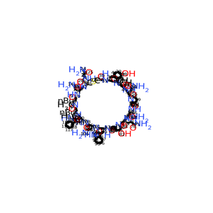 CCCC[C@H]1C(=O)N(C)[C@@H](CCCC)C(=O)N[C@@H](CCN)C(=O)N[C@H](C(=O)NCC(N)=O)CSCC(=O)N[C@@H](Cc2ccc(O)cc2)C(=O)N(C)[C@@H](C)C(=O)N[C@@H](CC(N)=O)C(=O)N2CCC[C@H]2C(=O)N[C@@H](CN)C(=O)N[C@@H](CCC(N)=O)C(=O)N2C[C@H](O)C[C@H]2C(=O)N[C@@H](Cc2c[nH]c3ccccc23)C(=O)N[C@@H](CCN)C(=O)N[C@@H](Cc2c[nH]c3ccccc23)C(=O)N1C